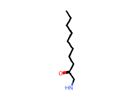 CCCCCCCCC(=O)C[NH]